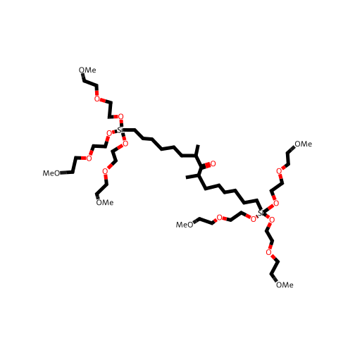 COCCOCCO[Si](CCCCCCC(C)C(=O)C(C)CCCCCC[Si](OCCOCCOC)(OCCOCCOC)OCCOCCOC)(OCCOCCOC)OCCOCCOC